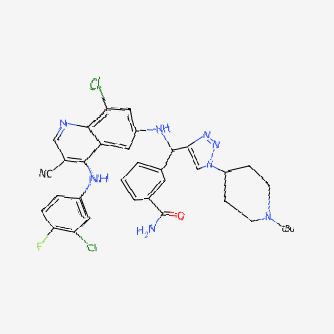 CC(C)(C)N1CCC(n2cc(C(Nc3cc(Cl)c4ncc(C#N)c(Nc5ccc(F)c(Cl)c5)c4c3)c3cccc(C(N)=O)c3)nn2)CC1